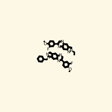 CCn1cc2cc3ncc(-c4ccc(OC)c(F)c4)nc3cc2n1.COc1ccc(-c2cnc3cc4cnn(Cc5ccccc5)c4cc3n2)cc1F